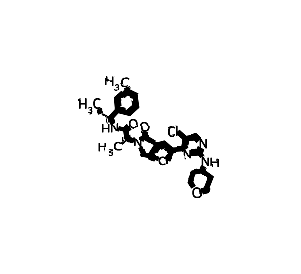 CC[C@@H](NC(=O)[C@@H](C)N1Cc2ccc(-c3nc(NC4CCOCC4)ncc3Cl)cc2C1=O)c1cccc(C)c1